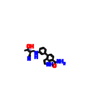 C/C(O)=C(\C#N)CNc1cccc(-c2ccc(C(N)=O)c3[nH]ccc23)c1